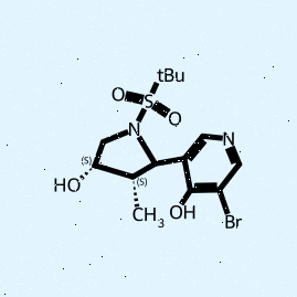 C[C@H]1C(c2cncc(Br)c2O)N(S(=O)(=O)C(C)(C)C)C[C@H]1O